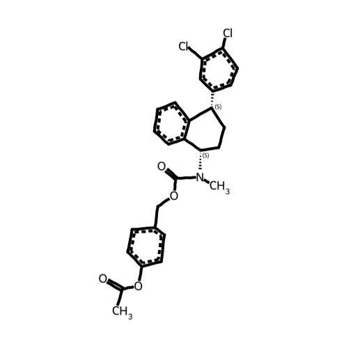 CC(=O)Oc1ccc(COC(=O)N(C)[C@H]2CC[C@@H](c3ccc(Cl)c(Cl)c3)c3ccccc32)cc1